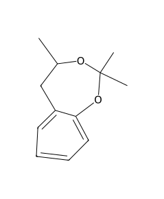 CC1Cc2ccccc2OC(C)(C)O1